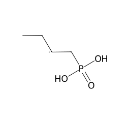 CC[CH]CP(=O)(O)O